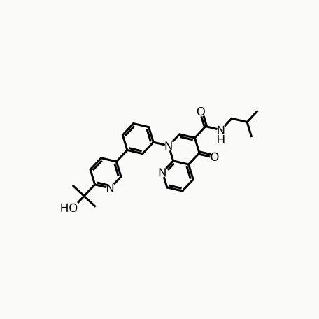 CC(C)CNC(=O)c1cn(-c2cccc(-c3ccc(C(C)(C)O)nc3)c2)c2ncccc2c1=O